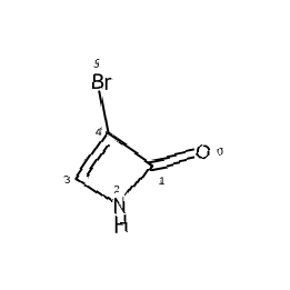 O=C1NC=C1Br